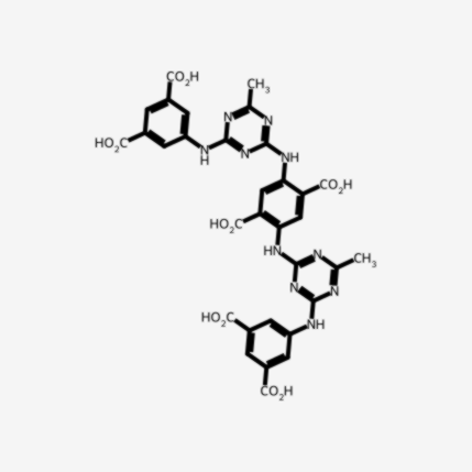 Cc1nc(Nc2cc(C(=O)O)cc(C(=O)O)c2)nc(Nc2cc(C(=O)O)c(Nc3nc(C)nc(Nc4cc(C(=O)O)cc(C(=O)O)c4)n3)cc2C(=O)O)n1